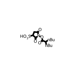 CCCCC(CCCC)C(=O)ON1C(=O)CC(S(=O)(=O)O)C1=O